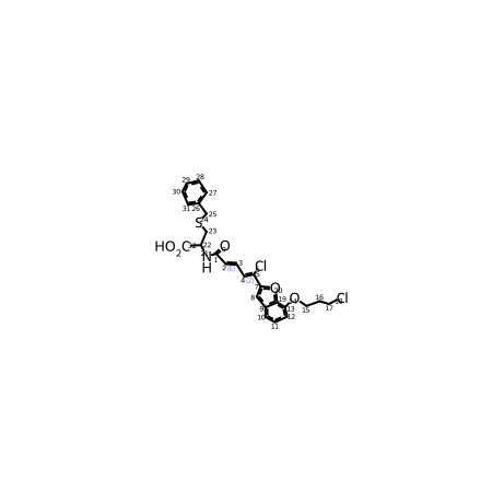 O=C(/C=C/C=C(\Cl)c1cc2cccc(OCCCCl)c2o1)NC(CSCc1ccccc1)C(=O)O